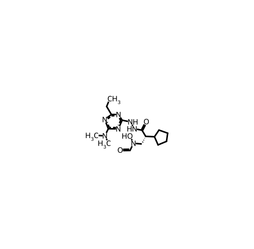 CCc1nc(NNC(=O)[C@@H](CN(O)C=O)C2CCCC2)nc(N(C)C)n1